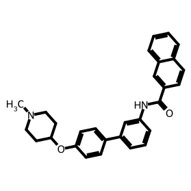 CN1CCC(Oc2ccc(-c3cccc(NC(=O)c4ccc5ccccc5c4)c3)cc2)CC1